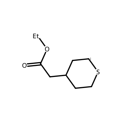 CCOC(=O)CC1C[C]SCC1